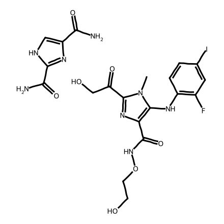 Cn1c(C(=O)CO)nc(C(=O)NOCCO)c1Nc1ccc(I)cc1F.NC(=O)c1c[nH]c(C(N)=O)n1